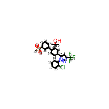 CC(C)(O)c1cc(-c2cc(C(F)(F)F)nn2-c2ccccc2Cl)ccc1-c1cccc(S(C)(=O)=O)c1